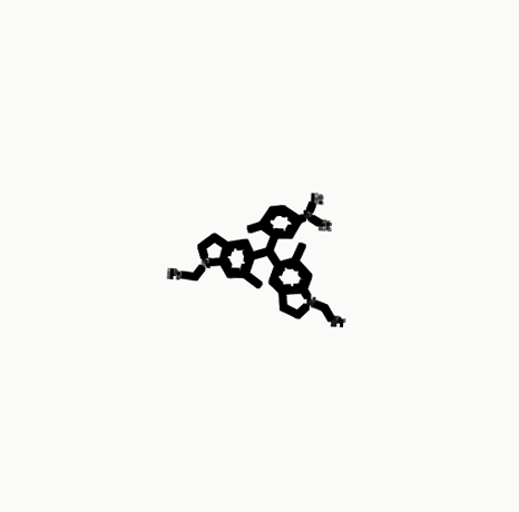 CCN(CC)c1ccc(C)c(C(c2cc3c(cc2C)N(CC(C)C)CC3)c2cc3c(cc2C)N(CC(C)C)CC3)c1